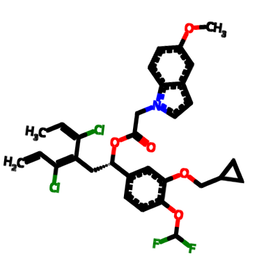 C=C/C(Cl)=C(C[C@H](OC(=O)Cn1ccc2cc(OC)ccc21)c1ccc(OC(F)F)c(OCC2CC2)c1)\C(Cl)=C/C